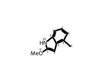 COc1cc2c(C)cccc2[nH]1